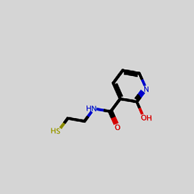 O=C(NCCS)c1cccnc1O